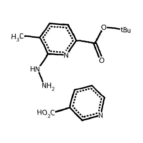 Cc1ccc(C(=O)OC(C)(C)C)nc1NN.O=C(O)c1cccnc1